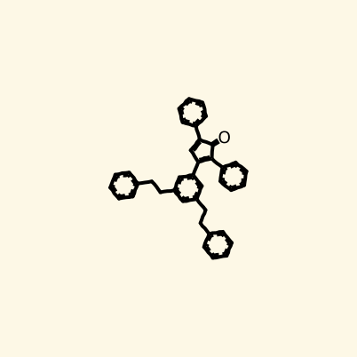 O=C1C(c2ccccc2)=CC(c2cc(CCc3ccccc3)cc(CCc3ccccc3)c2)=C1c1ccccc1